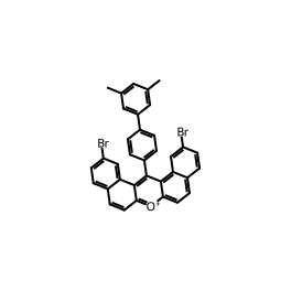 Cc1cc(C)cc(-c2ccc(-c3c4c(ccc5ccc(Br)cc54)[o+]c4ccc5ccc(Br)cc5c34)cc2)c1